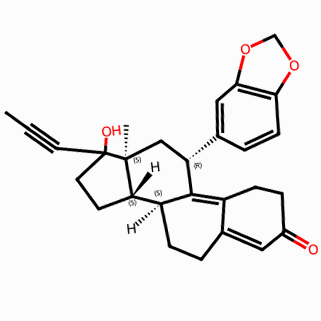 CC#CC1(O)CC[C@H]2[C@@H]3CCC4=CC(=O)CCC4=C3[C@@H](c3ccc4c(c3)OCO4)C[C@@]21C